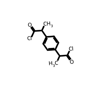 CC(C(=O)Cl)c1ccc(C(C)C(=O)Cl)cc1